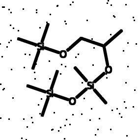 CC(CO[Si](C)(C)C)O[Si](C)(C)O[Si](C)(C)C